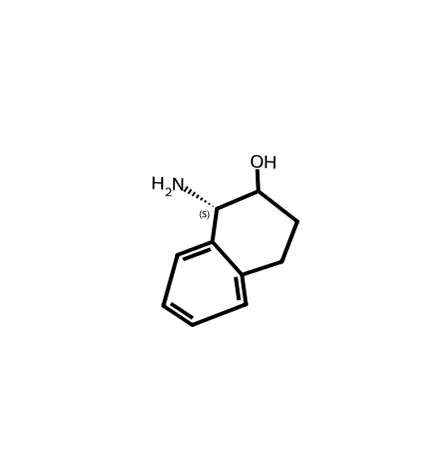 N[C@H]1c2ccccc2CCC1O